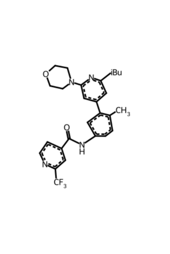 CCC(C)c1cc(-c2cc(NC(=O)c3ccnc(C(F)(F)F)c3)ccc2C)cc(N2CCOCC2)n1